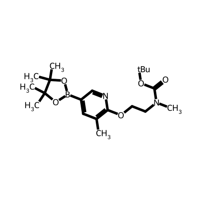 Cc1cc(B2OC(C)(C)C(C)(C)O2)cnc1OCCN(C)C(=O)OC(C)(C)C